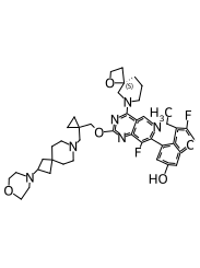 CCc1c(F)ccc2cc(O)cc(-c3ncc4c(N5CCC[C@]6(CCO6)C5)nc(OCC5(CN6CCC7(CC6)CC(N6CCOCC6)C7)CC5)nc4c3F)c12